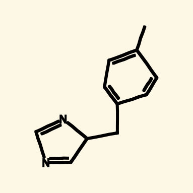 Cc1ccc(CC2C=NC=N2)cc1